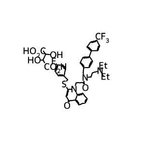 CCN(CC)CCN(Cc1ccc(-c2ccc(C(F)(F)F)cc2)cc1)C(=O)Cn1c(SCc2ccc(F)cc2)cc(=O)c2ccccc21.O=C(O)C(O)C(O)C(=O)O